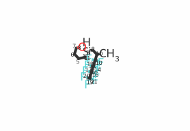 CC(C[SiH]1CCCCO1)C(F)(F)C(F)(F)C(F)(F)C(F)(F)F